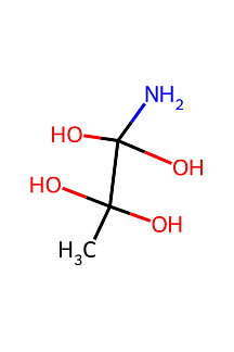 CC(O)(O)C(N)(O)O